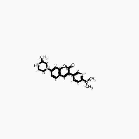 CC1CN(c2ccc3cc(-c4ccc(N(C)C)nc4)c(=O)oc3c2)CCN1